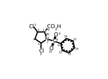 O=C(O)[C@@H]1C(Cl)CC(Cl)N1S(=O)(=O)c1ccccc1